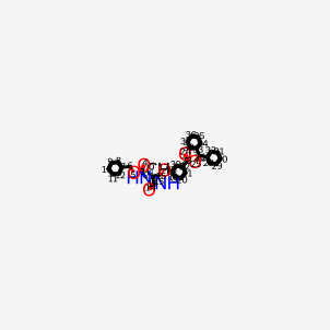 C[C@@]1(NC(=O)OCc2ccccc2)C(=O)N[C@@H]1Oc1cccc(C(=O)OC(c2ccccc2)c2ccccc2)c1